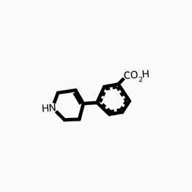 O=C(O)c1cccc(C2=CCNCC2)c1